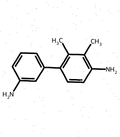 Cc1c(N)ccc(-c2cccc(N)c2)c1C